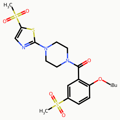 CCC(C)Oc1ccc(S(C)(=O)=O)cc1C(=O)N1CCN(c2ncc(S(C)(=O)=O)s2)CC1